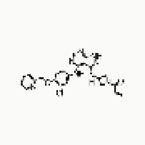 C=CC(=O)N1CC(Nc2n[nH]c3ncnc(Nc4ccc(OCc5ccccn5)c(Cl)c4)c23)C1